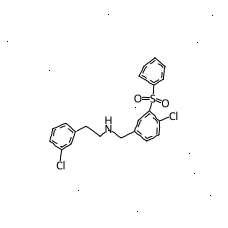 O=S(=O)(c1ccccc1)c1cc(CNCCc2cccc(Cl)c2)ccc1Cl